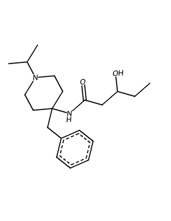 CCC(O)CC(=O)NC1(Cc2ccccc2)CCN(C(C)C)CC1